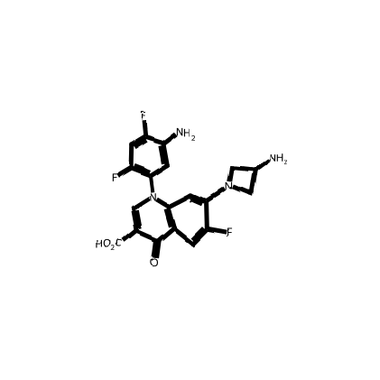 Nc1cc(-n2cc(C(=O)O)c(=O)c3cc(F)c(N4CC(N)C4)cc32)c(F)cc1F